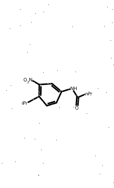 CCCC(=O)Nc1ccc([C](C)C)c([N+](=O)[O-])c1